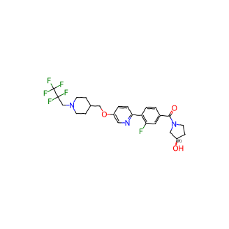 O=C(c1ccc(-c2ccc(OCC3CCN(CC(F)(F)C(F)(F)F)CC3)cn2)c(F)c1)N1CC[C@@H](O)C1